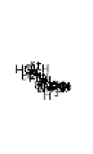 CCc1cc(CNc2[nH]nc(Nc3ccc(N4CCN(C)CC4)cc3)c2C(N)=O)cc(CC)c1O